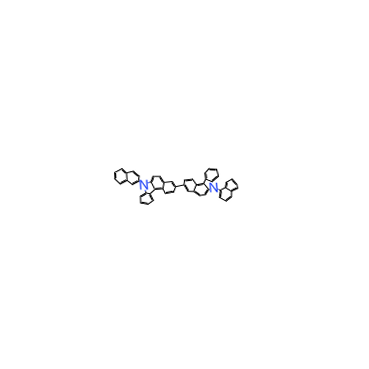 c1ccc2cc(-n3c4ccccc4c4c5ccc(-c6ccc7c(ccc8c7c7ccccc7n8-c7cccc8ccccc78)c6)cc5ccc43)ccc2c1